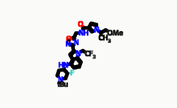 COCC(C)n1ccc(C(=O)NCc2nc(-c3cc4c(N[C@@H]5CCN(C(C)(C)C)C[C@H]5F)cccc4n3CC(F)(F)F)no2)c1